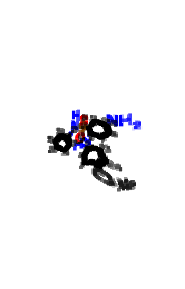 COc1ccc(Nc2ccc(N)cc2S(=O)(=O)Nc2ccccc2)cc1